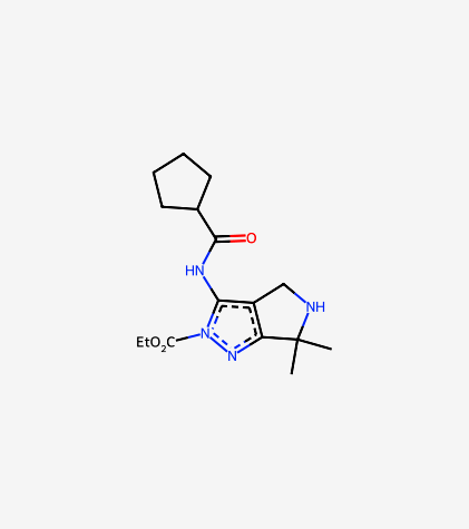 CCOC(=O)n1nc2c(c1NC(=O)C1CCCC1)CNC2(C)C